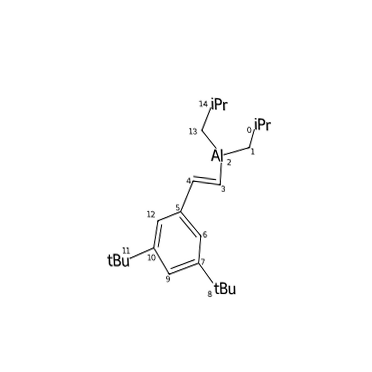 CC(C)[CH2][Al](/[CH]=C/c1cc(C(C)(C)C)cc(C(C)(C)C)c1)[CH2]C(C)C